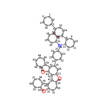 c1ccc(-c2ccc(-c3ccccc3N(c3ccccc3)c3ccc(-c4cc5oc6ccc7oc8ccccc8c7c6c5c5oc6ccccc6c45)cc3)cc2)cc1